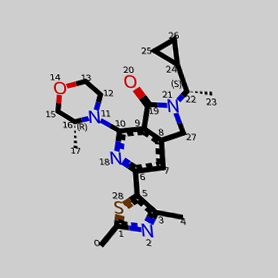 Cc1nc(C)c(-c2cc3c(c(N4CCOC[C@H]4C)n2)C(=O)N([C@@H](C)C2CC2)C3)s1